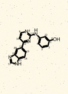 Oc1cccc(Nc2nccc(-c3ccc4[nH]cnc4c3)n2)c1